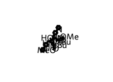 COC(=O)NC(C(=O)NC(Cc1ccc(-c2ccccn2)cc1)CC(O)C(Cc1ccc(-c2ccccn2)cc1)NC(=O)C(NC(=O)OC)C(C)(C)C)C(C)(C)C